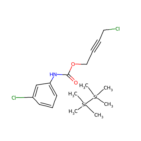 C[Si](C)(C)[Si](C)(C)C.O=C(Nc1cccc(Cl)c1)OCC#CCCl